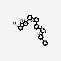 CC1(C)c2ccccc2-c2ccc(-c3cccc4c3sc3c(-c5cccc(-c6ncnc7c6oc6ccc(-c8ccccc8)cc67)c5)cccc34)cc21